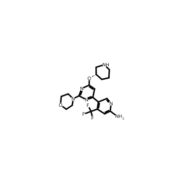 Nc1cc(C(F)(F)F)c(-c2cc(O[C@H]3CCCNC3)nc(N3CCOCC3)n2)cn1